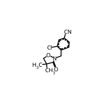 CC1(C)CON(Cc2ccc(C#N)cc2Cl)C1=O